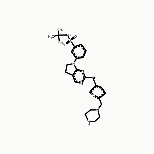 CC(C)(C)NS(=O)(=O)c1cccc(N2CCc3cnc(Nc4ccc(CN5CCNCC5)cc4)nc32)c1